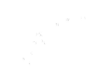 CN(C)C(=O)c1cc2cnc(Nc3ccc(N4CCN(CCO)CC4)cc3)nc2n1C1CCCC1